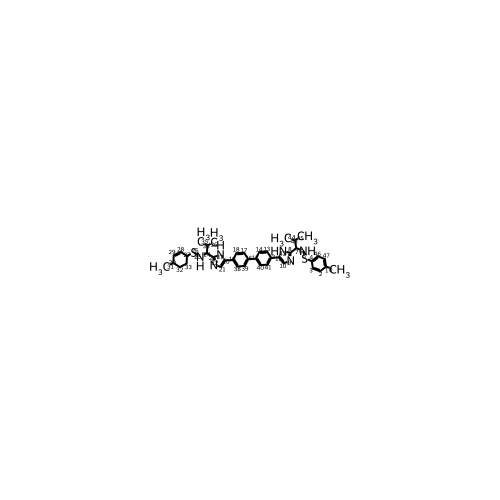 Cc1ccc(SNC(c2ncc(-c3ccc(-c4ccc(-c5cnc(C(NSC6C=CC(C)CC6)C(C)C)[nH]5)cc4)cc3)[nH]2)C(C)C)cc1